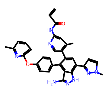 C=CC(=O)Nc1cc(C)c(-c2cc(-c3ccn(C)n3)c3[nH]nc(N)c3c2-c2ccc(Oc3cccc(C)n3)cc2)cn1